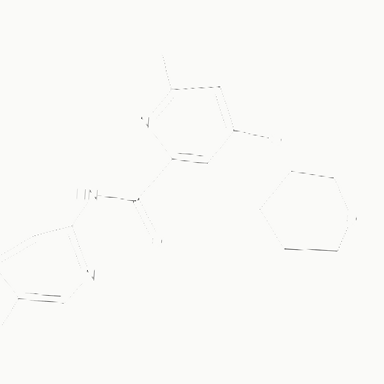 Cc1cc(O[C@H]2CCCOC2)cc(C(=O)Nc2ccc(F)cn2)n1